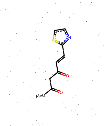 COC(=O)CC(=O)/C=C/c1nccs1